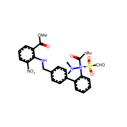 CCCCC(=O)[N+](c1ccccc1-c1ccc(CNc2c(C(=O)OC)cccc2[N+](=O)[O-])cc1)(N(C)C)S(=O)(=O)C=O